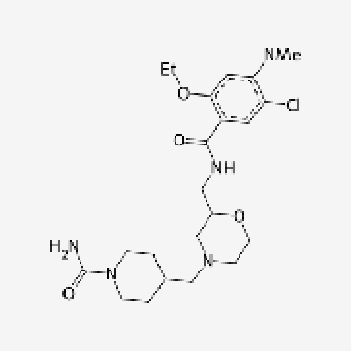 CCOc1cc(NC)c(Cl)cc1C(=O)NCC1CN(CC2CCN(C(N)=O)CC2)CCO1